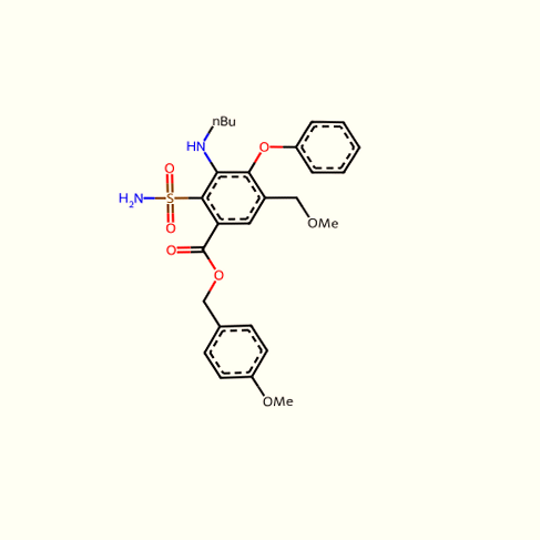 CCCCNc1c(Oc2ccccc2)c(COC)cc(C(=O)OCc2ccc(OC)cc2)c1S(N)(=O)=O